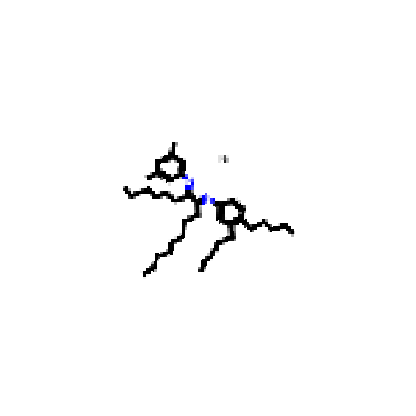 CCCCCCCCC(=Nc1ccc(CCCCC)c(CCCCC)c1)C(CCCCCC)=Nc1cc(C)cc(C)c1.[Ni]